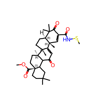 COC(=O)[C@]12CCC(C)(C)CC1C1C(=O)C=C3[C@@]4(C)C=C(C(=O)NSC)C(=O)C(C)(C)[C@@H]4CC[C@@]3(C)[C@]1(C)CC2